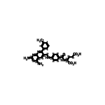 Cc1cccc(-c2nc3nc(N)nc(N)c3cc2CNc2ccc(C(=O)N[C@@H](CCC(=O)O)C(=O)O)cc2)c1